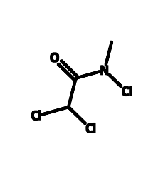 CN(Cl)C(=O)C(Cl)Cl